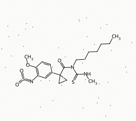 CCCCCCCN(C(=O)C1(c2ccc(OC)c(N=S(=O)=O)c2)CC1)C(=S)NC